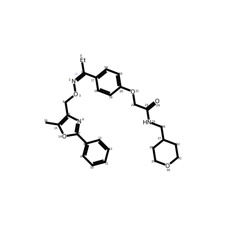 CC/C(=N/OCc1nc(-c2ccccc2)oc1C)c1ccc(OCC(=O)NCC2CCOCC2)cc1